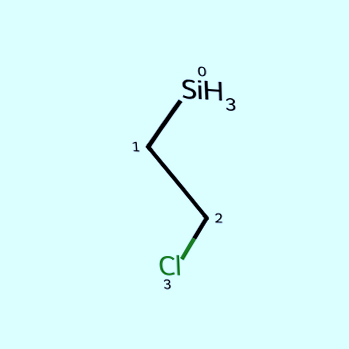 [SiH3]CCCl